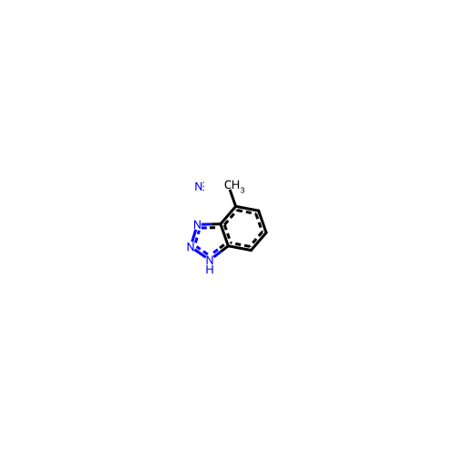 Cc1cccc2[nH]nnc12.[N]